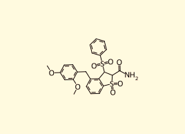 COc1ccc(Cc2cccc3c2C(S(=O)(=O)c2ccccc2)C(C(N)=O)S3(=O)=O)c(OC)c1